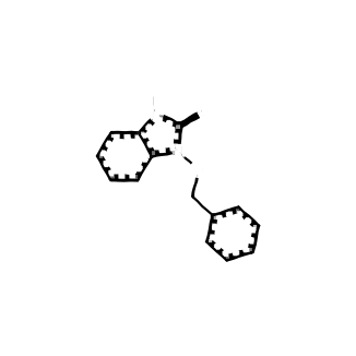 O=c1[nH]c2ccccc2n1OCc1ccccc1